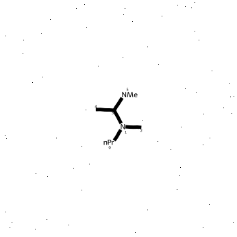 CCCN(C)C(C)NC